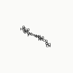 N#Cc1ccc(O[C@H]2CC[C@H](NC(=O)c3cnc(N4CCN(C5CC6(CCN(c7cc8c(cc7F)C(=O)N(C7CCC(=O)NC7=O)C8=O)CC6)C5)CC4)cn3)CC2)cc1Cl